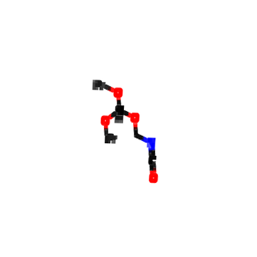 CC(C)O[SiH](OCN=C=O)OC(C)C